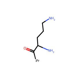 CC(C)C(=O)C(N)CCCN